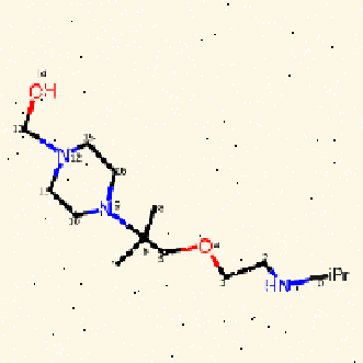 CC(C)NCCOCC(C)(C)N1CCN(CO)CC1